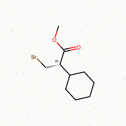 COC(=O)[C@@H](CBr)C1CCCCC1